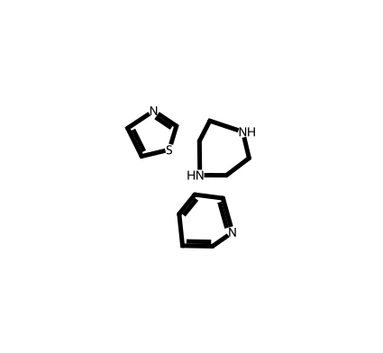 C1CNCCN1.c1ccncc1.c1cscn1